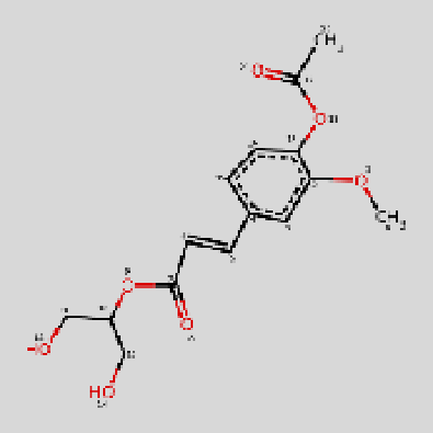 COc1cc(/C=C/C(=O)OC(CO)CO)ccc1OC(C)=O